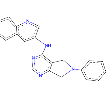 c1ccc(N2Cc3ncnc(Nc4cnc5ccccc5c4)c3C2)cc1